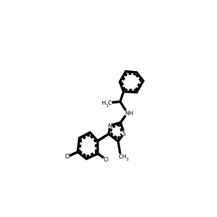 Cc1sc(NC(C)c2ccccc2)nc1-c1ccc(Cl)cc1Cl